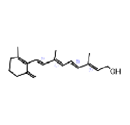 C=C1CCCC(C)=C1/C=C/C(C)=C/C=C/C(C)=C/CO